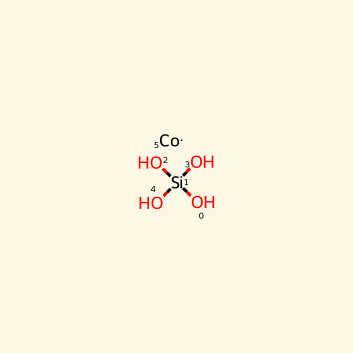 O[Si](O)(O)O.[Co]